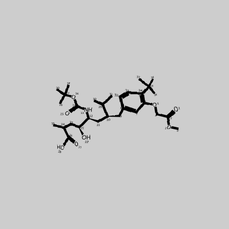 COC(=O)COc1cc(C[C@@H](C[C@H](NC(=O)OC(C)(C)C)[C@@H](O)CC(C)C(=O)O)C(C)C)ccc1C(C)(C)C